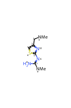 CNCc1csc(/N=C(\N)NC)n1